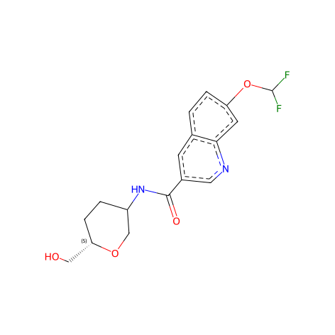 O=C(NC1CC[C@@H](CO)OC1)c1cnc2cc(OC(F)F)ccc2c1